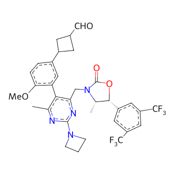 COc1ccc(C2CC(C=O)C2)cc1-c1c(C)nc(N2CCC2)nc1CN1C(=O)O[C@H](c2cc(C(F)(F)F)cc(C(F)(F)F)c2)[C@@H]1C